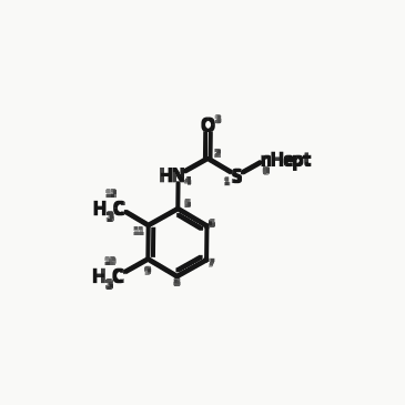 CCCCCCCSC(=O)Nc1cccc(C)c1C